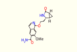 COc1cc2c(OCC[C@H]3NC(=O)[C@H]4C[C@H]43)nccc2cc1C(N)=O